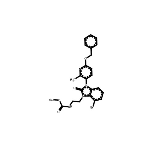 Cc1nc(OCc2ccccc2)ccc1-n1c(=O)n(CCNC(=O)OC(C)(C)C)c2c(Br)cccc21